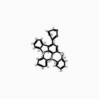 c1ccc(-c2cc3c4c5c2c2ccccc2n5-c2ccccc2B4c2ccccc2O3)cc1